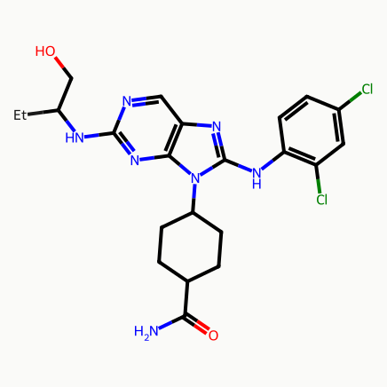 CCC(CO)Nc1ncc2nc(Nc3ccc(Cl)cc3Cl)n(C3CCC(C(N)=O)CC3)c2n1